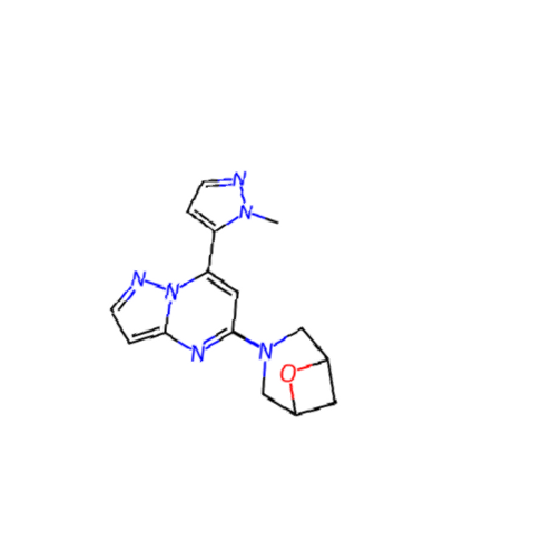 Cn1nccc1-c1cc(N2CC3CC(C2)O3)nc2ccnn12